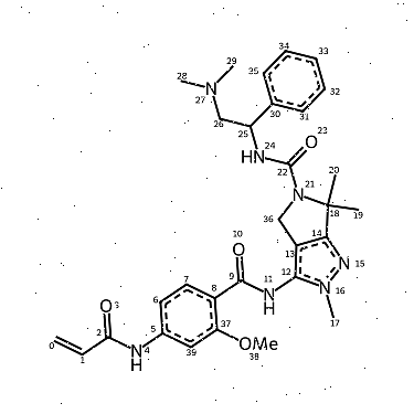 C=CC(=O)Nc1ccc(C(=O)Nc2c3c(nn2C)C(C)(C)N(C(=O)NC(CN(C)C)c2ccccc2)C3)c(OC)c1